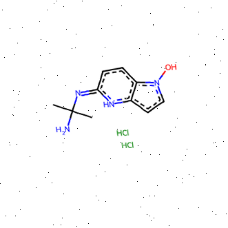 CC(C)(N)/N=c1/ccc2c(ccn2O)[nH]1.Cl.Cl